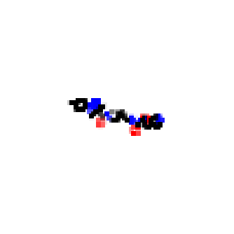 Cc1ccc(-n2nc(C)c(C(=O)N3CCC4(CC3)CC4CNC(=O)c3cc4ccncc4o3)c2C)cc1